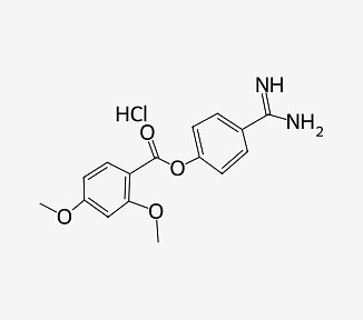 COc1ccc(C(=O)Oc2ccc(C(=N)N)cc2)c(OC)c1.Cl